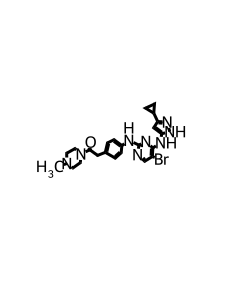 CN1CCN(C(=O)Cc2ccc(Nc3ncc(Br)c(Nc4cc(C5CC5)n[nH]4)n3)cc2)CC1